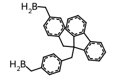 BCc1ccc(CC2(Cc3ccc(CB)cc3)c3ccccc3-c3ccccc32)cc1